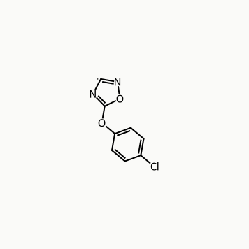 Clc1ccc(Oc2n[c]no2)cc1